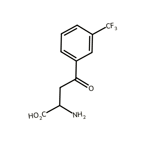 NC(CC(=O)c1cccc(C(F)(F)F)c1)C(=O)O